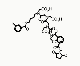 O=C(O)CN(CCCCNC(=O)c1cccc(I)c1)C(=O)CN(CC(=O)O)C(=O)CN(CC(=O)O)C(=O)CN(CC(=O)O)C(=O)c1cccc(C(=O)ON2C(=O)CCC2=O)c1